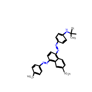 CCC(C)(C=O)Nc1ccc(N=Nc2ccc(N=Nc3ccc(S(=O)(=O)O)cc3)c3cc(S(=O)(=O)O)ccc23)cc1